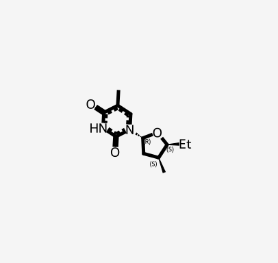 CC[C@@H]1O[C@@H](n2cc(C)c(=O)[nH]c2=O)C[C@@H]1C